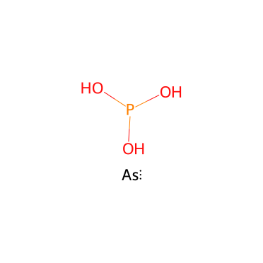 OP(O)O.[As]